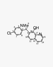 CNC(c1ccc(Cl)cc1)c1ccc2cccnc2c1O